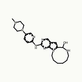 CN1CCN(c2ccc(Nc3ncc4cc5n(c4n3)CCCCCCNC5O)nc2)CC1